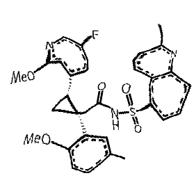 COc1ccc(C)cc1[C@]1(C(=O)NS(=O)(=O)c2cccc3nc(C)ccc23)C[C@@H]1c1cc(F)cnc1OC